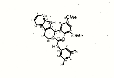 COc1cc(OC)cc(C2c3[nH]c4ncccc4c3CCN2C(=O)Nc2cc(C)cc(C)c2)c1